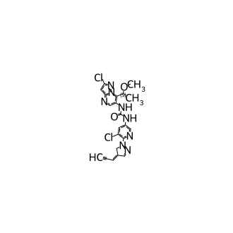 C#CC=C1C=NN(c2ncc(NC(=O)Nc3cnc4cc(Cl)nn4c3[C@H](C)OC)cc2Cl)C1